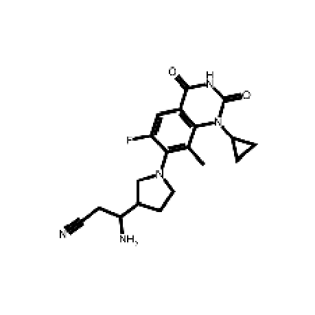 Cc1c(N2CCC(C(N)CC#N)C2)c(F)cc2c(=O)[nH]c(=O)n(C3CC3)c12